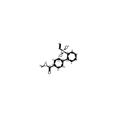 C=CS(=O)(=O)c1ccccc1-c1ccc(C(=O)OC)cc1